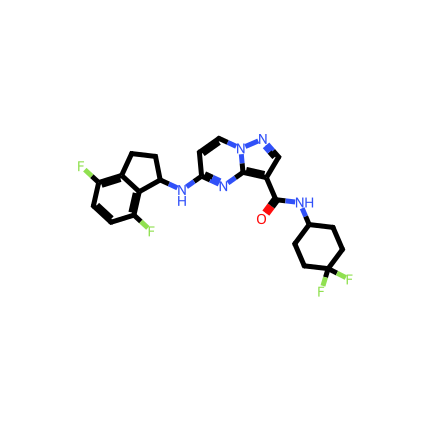 O=C(NC1CCC(F)(F)CC1)c1cnn2ccc(NC3CCc4c(F)ccc(F)c43)nc12